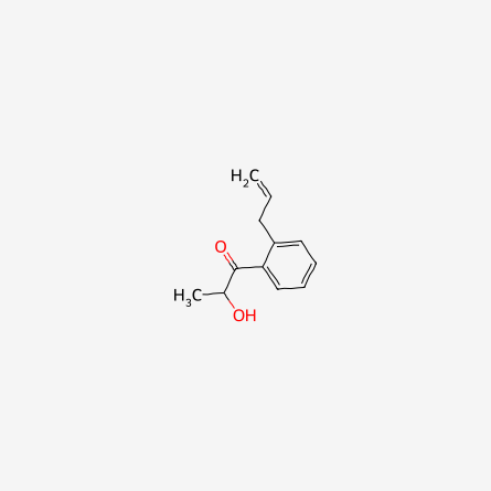 C=CCc1ccccc1C(=O)C(C)O